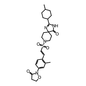 Cc1cc(N2OCCC2=O)ccc1/C=C/S(=O)(=O)N1CCC2(CC1)N=C(C1CCC(C)CC1)NC2=O